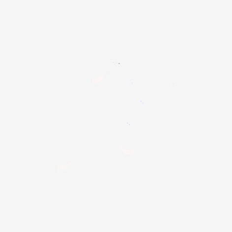 COC(=O)c1nc(C2CC2)nc(NCC(O)c2ccc(O)cc2)c1Cl